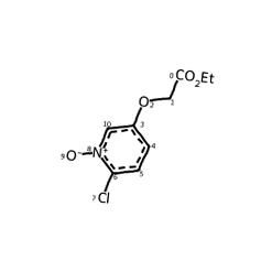 CCOC(=O)COc1ccc(Cl)[n+]([O-])c1